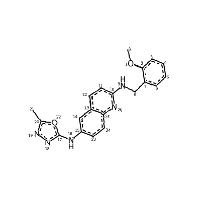 COc1ccccc1CNc1ccc2cc(Nc3nnc(C)o3)ccc2n1